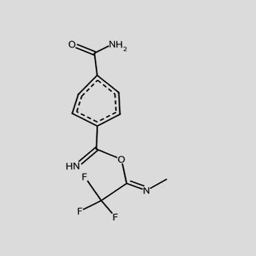 C/N=C(\OC(=N)c1ccc(C(N)=O)cc1)C(F)(F)F